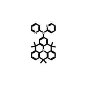 CC1(C)c2cccc3c2N2c4c1cccc4C(C)(C)c1cc(N(c4ccccn4)c4ccccn4)cc(c12)C3(C)C